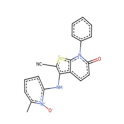 Cc1cccc(Nc2c(C#N)sc3c2ccc(=O)n3-c2ccccc2)[n+]1[O-]